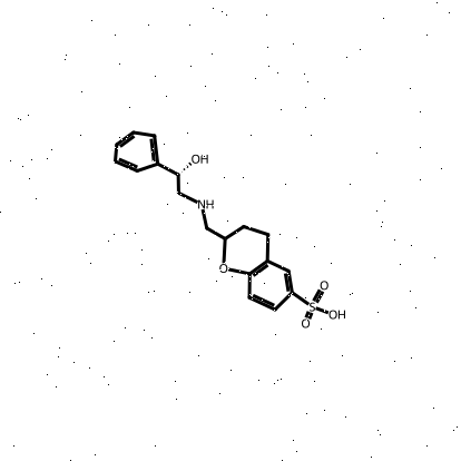 O=S(=O)(O)c1ccc2c(c1)CCC(CNC[C@@H](O)c1ccccc1)O2